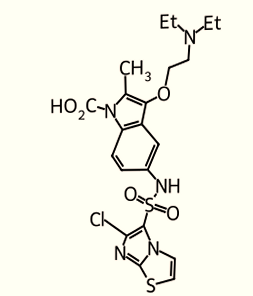 CCN(CC)CCOc1c(C)n(C(=O)O)c2ccc(NS(=O)(=O)c3c(Cl)nc4sccn34)cc12